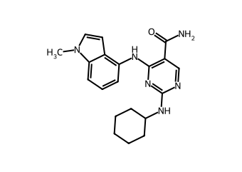 Cn1ccc2c(Nc3nc(NC4CCCCC4)ncc3C(N)=O)cccc21